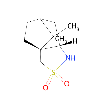 CC1(C)C2CC[C@@]13CS(=O)(=O)N[C@H]3C2